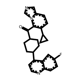 O=C(c1c(C2CC2)ccc2cncn12)C1CCC(c2ccnc3ccc(F)cc23)CC1